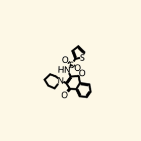 O=C1C(NS(=O)(=O)c2cccs2)=C(N2CCCCC2)C(=O)c2ccccc21